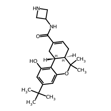 CC(C)(C)c1cc(O)c2c(c1)OC(C)(C)[C@@H]1CC=C(C(=O)NC3CNC3)C[C@@H]21